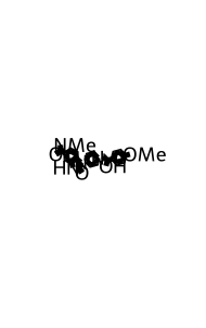 CNC(=O)c1ccc2c(c1)[nH]c(=O)n2C1CCN(CC(O)c2ccc(OC)cc2)CC1